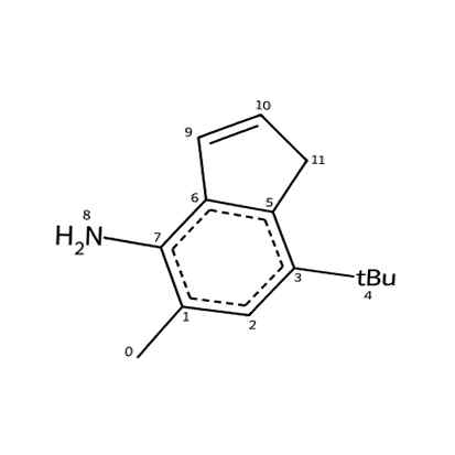 Cc1cc(C(C)(C)C)c2c(c1N)C=CC2